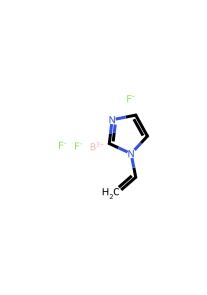 C=Cn1ccnc1.[B+3].[F-].[F-].[F-]